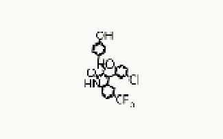 O=c1[nH]c2ccc(C(F)(F)F)cc2c(-c2cc(Cl)ccc2O)c1SCc1ccc(O)cc1